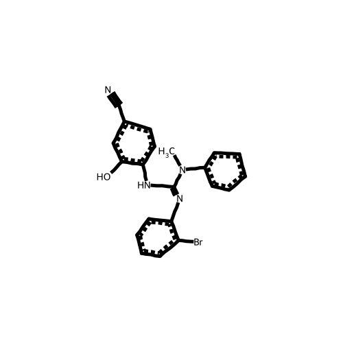 CN(C(=Nc1ccccc1Br)Nc1ccc(C#N)cc1O)c1ccccc1